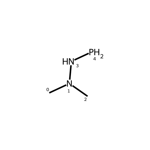 CN(C)NP